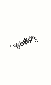 CCCCN(CCCC)C(=O)c1ccc(S(=O)(=O)NC(=O)c2ccc(OC(=O)OC(C)C)nc2)cc1